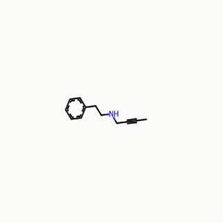 CC#CCNCCc1ccccc1